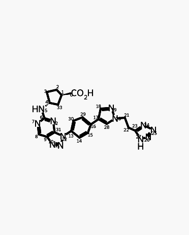 O=C(O)[C@@H]1CC[C@@H](Nc2ncc3nnn(-c4ccc(-c5cnn(CCc6nnn[nH]6)c5)cc4)c3n2)C1